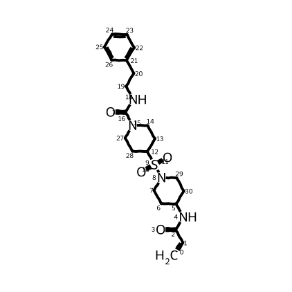 C=CC(=O)NC1CCN(S(=O)(=O)C2CCN(C(=O)NCCc3ccccc3)CC2)CC1